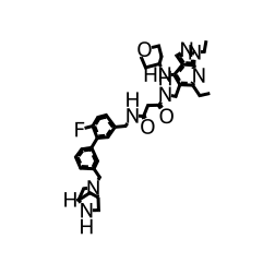 CCc1nc2c(cnn2CC)c(NC2CCOCC2)c1CNC(=O)CC(=O)NCc1ccc(F)c(-c2cccc(CN3C[C@@H]4CC3CN4)c2)c1